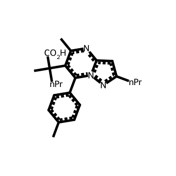 CCCc1cc2nc(C)c(C(C)(CCC)C(=O)O)c(-c3ccc(C)cc3)n2n1